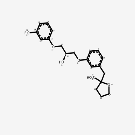 O=C(O)C1(Cc2cccc(OC[C@@H](O)COc3cccc(C(F)(F)F)c3)c2)CCCO1